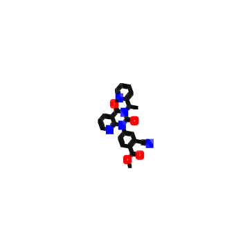 COC(=O)c1ccc(-n2c(=O)n(C(C)c3ccccn3)c(=O)c3cccnc32)cc1C#N